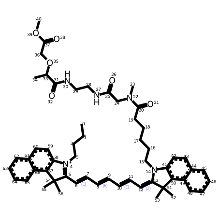 CCCC[N+]1=C(/C=C/C=C/C=C/C=C2\N(CCCCCC(=O)N(C)CC(=O)NCCNC(=O)C(C)OCC(=O)OC)c3ccc4ccccc4c3C2(C)C)C(C)(C)c2c1ccc1ccccc21